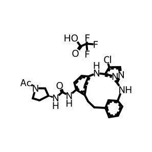 CC(=O)N1CC[C@H](NC(=O)Nc2ccc3cc2CCc2cccc(c2)Nc2ncc(Cl)c(n2)N3)C1.O=C(O)C(F)(F)F